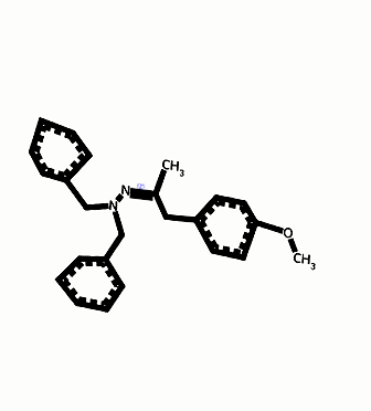 COc1ccc(C/C(C)=N\N(Cc2ccccc2)Cc2ccccc2)cc1